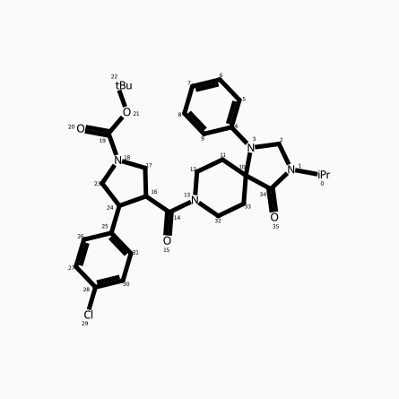 CC(C)N1CN(c2ccccc2)C2(CCN(C(=O)C3CN(C(=O)OC(C)(C)C)CC3c3ccc(Cl)cc3)CC2)C1=O